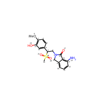 COc1ccc(C(CN2Cc3cccc(N)c3C2=O)S(C)(=O)=O)cc1O